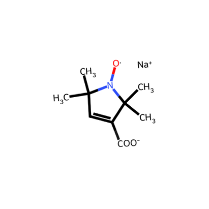 CC1(C)C=C(C(=O)[O-])C(C)(C)N1[O].[Na+]